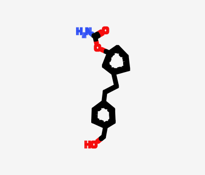 NC(=O)Oc1cccc(CCc2ccc(CO)cc2)c1